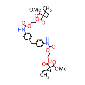 C=CC1CC1(C(=O)OC)C(=O)OCCOC(=O)Nc1ccc(Cc2ccc(NC(=O)OCCOC(=O)C3(C(=O)OC)CCC3=C)cc2)cc1